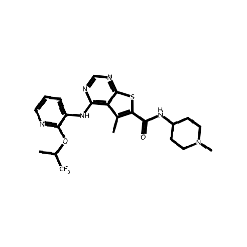 Cc1c(C(=O)NC2CCN(C)CC2)sc2ncnc(Nc3cccnc3OC(C)C(F)(F)F)c12